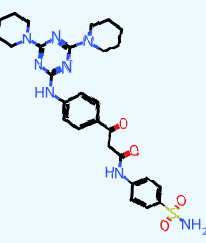 NS(=O)(=O)c1ccc(NC(=O)CC(=O)c2ccc(Nc3nc(N4CCCCC4)nc(N4CCCCC4)n3)cc2)cc1